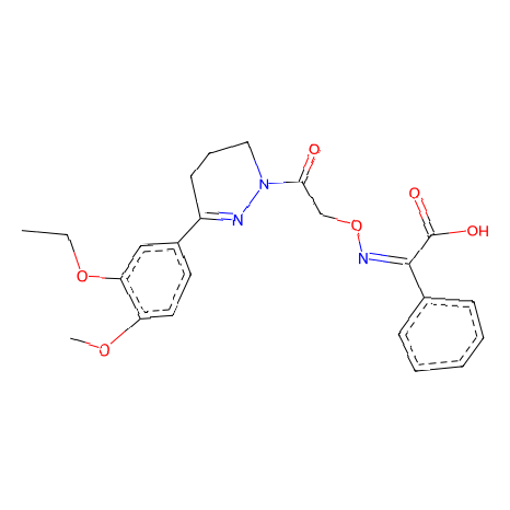 CCOc1cc(C2=NN(C(=O)CON=C(C(=O)O)c3ccccc3)CCC2)ccc1OC